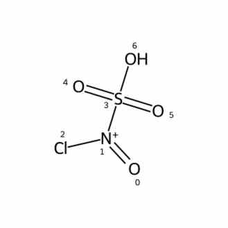 O=[N+](Cl)S(=O)(=O)O